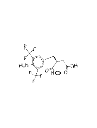 Nc1c(C(F)(F)F)cc(C[C@@H](CC(=O)O)C(=O)O)cc1C(F)(F)F